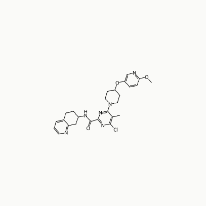 COc1ccc(OC2CCN(c3nc(C(=O)NC4CCc5cccnc5C4)nc(Cl)c3C)CC2)cn1